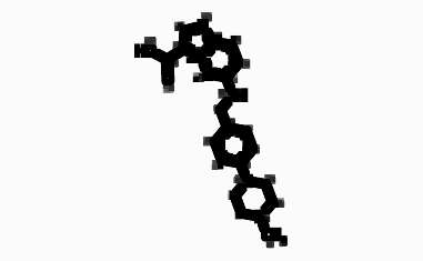 CN1CCN(c2ccc(CNc3ccc4ncc(C(=O)O)n4n3)cc2)CC1